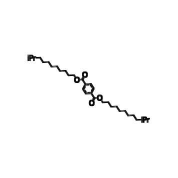 CC(C)CCCCCCCCCOC(=O)c1ccc(C(=O)OCCCCCCCCCC(C)C)cc1